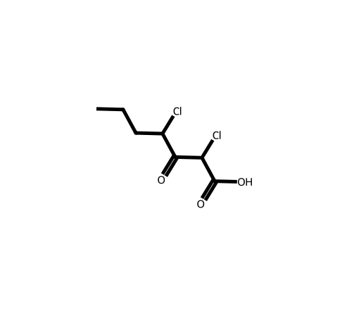 CCCC(Cl)C(=O)C(Cl)C(=O)O